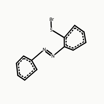 BrSc1ccccc1/N=N/c1ccccc1